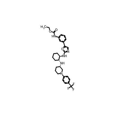 CCOC(=O)Nc1cccc(-c2cnc(N[C@@H]3CCCC[C@H]3N[C@H]3CCCN(c4ccc(C(F)(F)F)cc4)C3)o2)c1